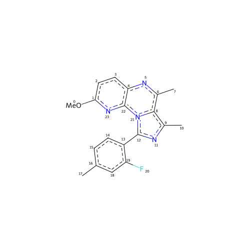 COc1ccc2nc(C)c3c(C)nc(-c4ccc(C)cc4F)n3c2n1